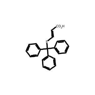 O=C(O)C=CSC(c1ccccc1)(c1ccccc1)c1ccccc1